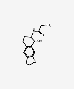 CCC(=O)N[C@@H]1CCc2cc3c(cc2[C@H]1O)OCC3